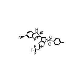 Cc1ccc(S(=O)(=O)n2cc(S(=O)(=O)Nc3ccc(C#N)cc3F)c3c2CN(CC(F)(F)F)C3)cc1